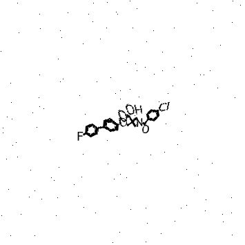 O=C(c1ccc(Cl)cc1)N1CC(COc2ccc(-c3ccc(F)cc3)cc2)(C(=O)O)C1